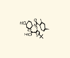 CC1=CC[C@@H](C(=O)N(c2cc(C(C)(C)C)sc2C(=O)O)[C@H]2CC[C@H](O)CC2)[C@@H](C)C1